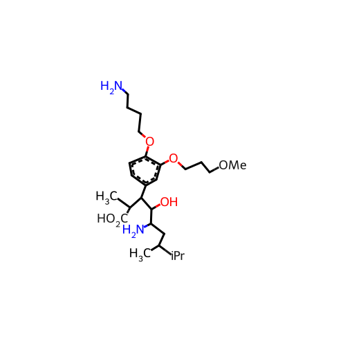 COCCCOc1cc(C(C(C)C(=O)O)C(O)C(N)CC(C)C(C)C)ccc1OCCCCN